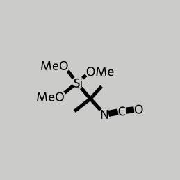 CO[Si](OC)(OC)C(C)(C)N=C=O